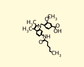 CCCCCC(=O)Nc1ccc2c(C)c(C)n(Cc3ccc(C(=O)O)cc3OC)c2c1